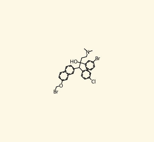 CN(C)CCC(O)(c1cccc(Br)c1)C(c1ccc(Cl)cc1)c1ccc2ccc(OCBr)cc2c1